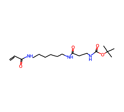 C=CC(=O)NCCCCCCNC(=O)CCNC(=O)OC(C)(C)C